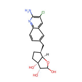 Nc1nc2ccc(C[C@@H]3CC[C@@]4(O)[C@@H]3OC(O)[C@@H]4O)cc2cc1Cl